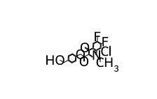 CCn1cc(C(=O)Oc2ccc(CO)cc2)c(=O)c2cc(F)c(F)c(Cl)c21